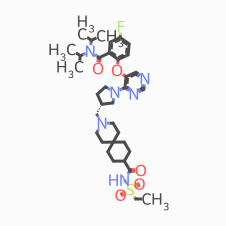 CCS(=O)(=O)NC(=O)C1CCC2(CC1)CCN(C[C@@H]1CCN(c3ncncc3Oc3ccc(F)cc3C(=O)N(C(C)C)C(C)C)C1)CC2